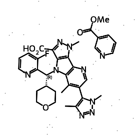 COC(=O)c1cccnc1.Cc1nnn(C)c1-c1cnc2c3c(c(C(=O)O)nn3C)n([C@@H](c3ncccc3F)C3CCOCC3)c2c1C